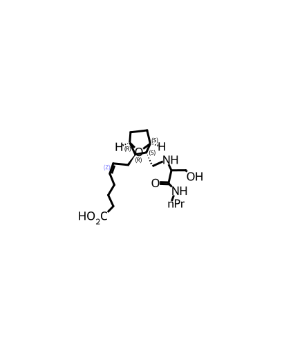 CCCNC(=O)C(CO)NC[C@@H]1[C@@H](C/C=C\CCCC(=O)O)[C@H]2CC[C@@H]1O2